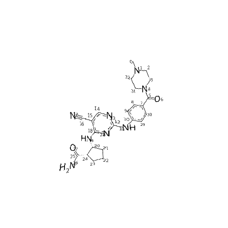 CN1CCN(C(=O)c2ccc(Nc3ncc(C#N)c(N[C@@H]4CCC[C@@H]4C(N)=O)n3)cc2)CC1